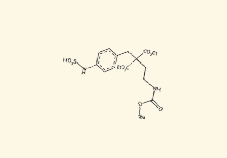 CCOC(=O)C(CCNC(=O)OC(C)(C)C)(Cc1ccc(NS(=O)(=O)O)cc1)C(=O)OCC